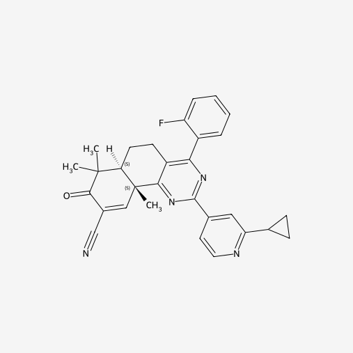 CC1(C)C(=O)C(C#N)=C[C@@]2(C)c3nc(-c4ccnc(C5CC5)c4)nc(-c4ccccc4F)c3CC[C@H]12